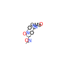 COc1ccc(CN2C(=O)CC(c3ncc(C)o3)=Cc3ccc(-c4cnn(C5CCOCC5)c4)cc32)cc1